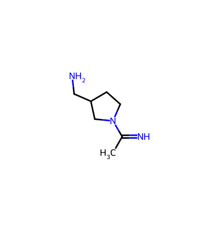 CC(=N)N1CCC(CN)C1